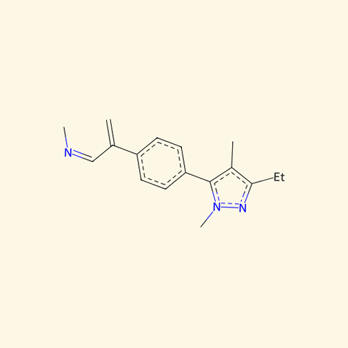 C=C(/C=N\C)c1ccc(-c2c(C)c(CC)nn2C)cc1